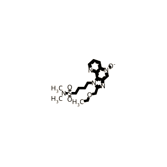 CCOCc1nc2c[n+]([O-])c3cccnc3c2n1CCCCS(=O)(=O)N(C)C